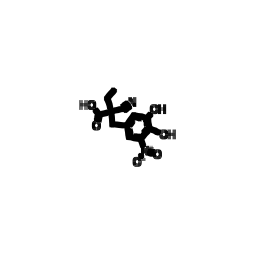 CCC(C#N)(Cc1cc(O)c(O)c([N+](=O)[O-])c1)C(=O)O